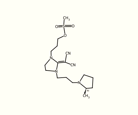 C[C@@H]1CCCN1CCCN1CCN(CCCOS(C)(=O)=O)C1=C(C#N)C#N